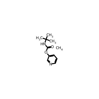 C.CC(C)(C)NC(=O)Oc1cccnc1